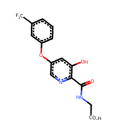 O=C(O)CNC(=O)c1ncc(Oc2cccc(C(F)(F)F)c2)cc1O